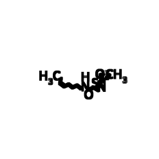 CC/C=C\CCCCNC(=O)c1cnc([S+]([O-])CC)s1